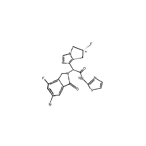 O=C(Nc1nccs1)C(c1ncn2c1C[C@@H](F)C2)N1Cc2c(F)cc(Br)cc2C1=O